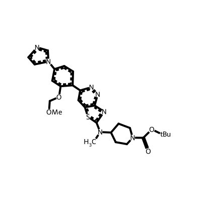 COCOc1cc(-n2ccnc2)ccc1-c1cc2sc(N(C)C3CCN(C(=O)OC(C)(C)C)CC3)nc2nn1